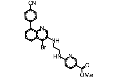 COC(=O)c1ccc(NCCNc2cnc3c(-c4ccc(C#N)cc4)cccc3c2Br)nc1